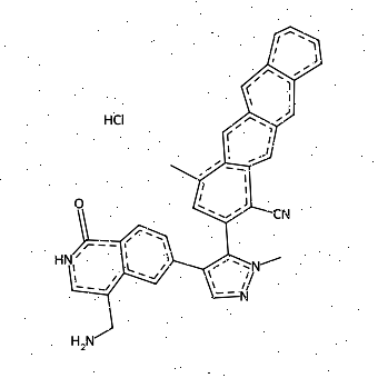 Cc1cc(-c2c(-c3ccc4c(=O)[nH]cc(CN)c4c3)cnn2C)c(C#N)c2cc3cc4ccccc4cc3cc12.Cl